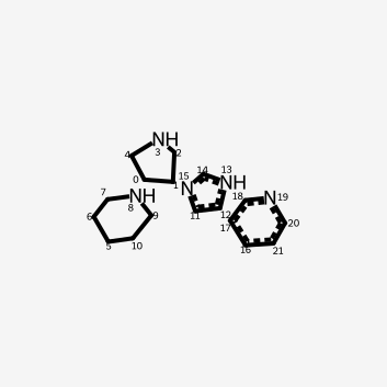 C1CCNC1.C1CCNCC1.c1c[nH]cn1.c1ccncc1